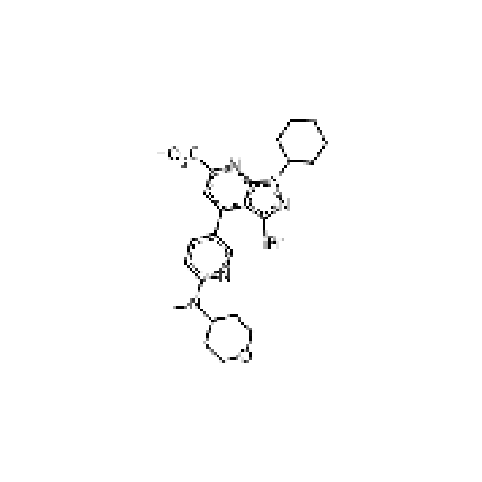 CC(C)c1nn(C2CCCCC2)c2nc(C(=O)O)cc(-c3ccc(N(C)C4CCOCC4)nc3)c12